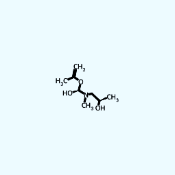 C=C(C)O[C@H](O)N(C)C[C@@H](C)O